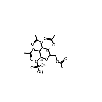 CC(=O)OCC1O[C@@H](OP(=O)(O)O)C(OC(C)=O)C(OC(C)=O)[C@@H]1OC(C)=O